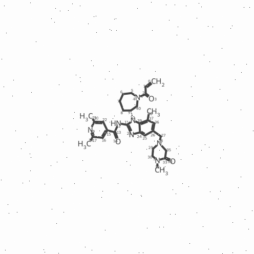 C=CC(=O)N1CCCC[C@@H](n2c(NC(=O)c3cc(C)nc(C)c3)nc3cc(CN4CCN(C)C(=O)C4)cc(C)c32)C1